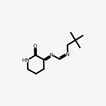 CC(C)(C)C/N=C\N=C1/CCCNC1=O